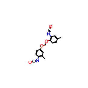 Cc1ccc(OCOc2ccc(N=C=O)c(C)c2)c(N=C=O)c1